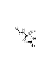 CCC(=O)N[C@H](C(=O)NCC(C)=O)[C@@H](C)CC